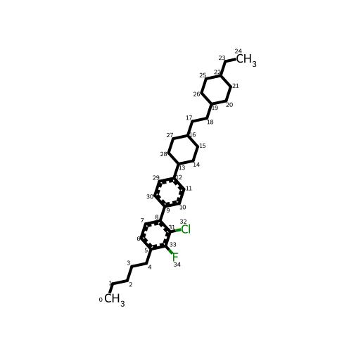 CCCCCc1ccc(-c2ccc(C3CCC(CCC4CCC(CC)CC4)CC3)cc2)c(Cl)c1F